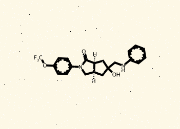 O=C1[C@H]2CC(O)(CNc3ccccc3)C[C@H]2CN1c1ccc(OC(F)(F)F)cc1